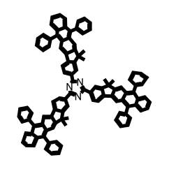 CC1(C)c2cc(-c3nc(-c4ccc5c(c4)C(C)(C)c4cc6c(-c7ccccc7)c7ccccc7c(-c7ccccc7)c6cc4-5)nc(-c4ccc5c(c4)C(C)(C)c4cc6c(-c7ccccc7)c7ccccc7c(-c7ccccc7)c6cc4-5)n3)ccc2-c2cc3c(-c4ccccc4)c4ccccc4c(-c4ccccc4)c3cc21